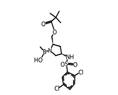 CB(O)N1C[C@H](NS(=O)(=O)c2cc(Cl)ccc2Cl)C[C@@H]1COC(=O)C(C)(C)C